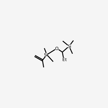 C=C(C)[Si](C)(C)OC(CC)[Si](C)(C)C